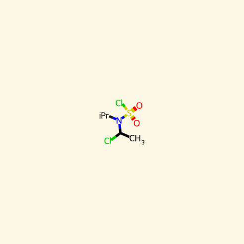 CC(C)N(C(C)Cl)S(=O)(=O)Cl